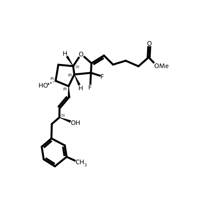 COC(=O)CCCC=C1O[C@H]2C[C@@H](O)[C@H](C=C[C@@H](O)Cc3cccc(C)c3)[C@H]2C1(F)F